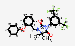 CC1(C)C(=O)N(c2cc(C(F)(F)F)cc(C(F)(F)F)c2)C(=O)N1Cc1ccccc1OC1C=CC=CC1